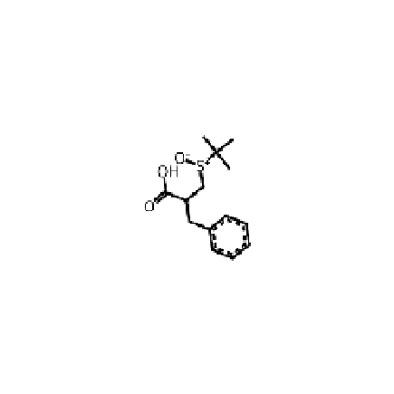 CC(C)(C)[S+]([O-])CC(Cc1ccccc1)C(=O)O